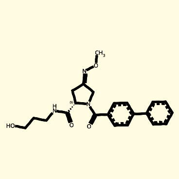 CON=C1C[C@@H](C(=O)NCCCO)N(C(=O)c2ccc(-c3ccccc3)cc2)C1